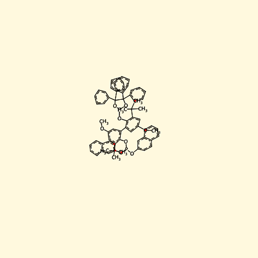 COc1cc(-c2cc(OC)cc(C(C)(C)C)c2OP2OC(c3ccccc3)(c3ccccc3)C(c3ccccc3)(c3ccccc3)O2)c(OP(Oc2ccc3ccccc3c2)Oc2ccc3ccccc3c2)c(C(C)(C)C)c1